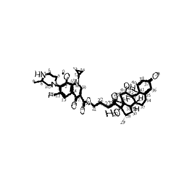 COc1c(N2CCNC(C)C2)c(F)cc2c(=O)c(C(=O)OCC[CH]C(=O)[C@]3(O)[C@@H](C)C[C@@H]4[C@H]5CCC6=CC(=O)C=C[C@@]6(C)[C@]5(F)[C@H](O)C[C@]43C)cn(C3CC3)c12